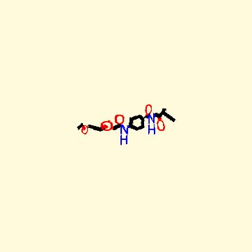 CCOCCOCC(=O)N[C@H]1CC[C@@H](C(=O)NCC(=O)C(C)C)CC1